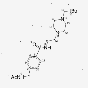 CC(=O)NCc1ccc(C(=O)NCCN2CCN(CC(C)(C)C)CC2)cc1